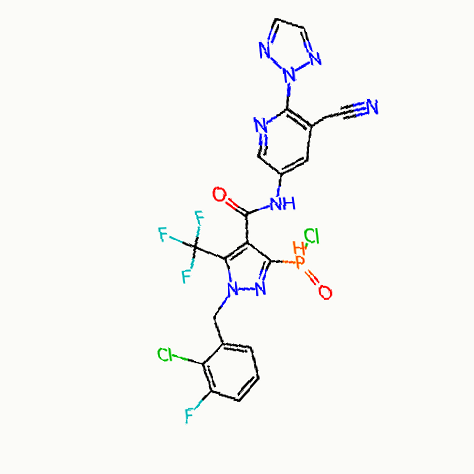 N#Cc1cc(NC(=O)c2c([PH](=O)Cl)nn(Cc3cccc(F)c3Cl)c2C(F)(F)F)cnc1-n1nccn1